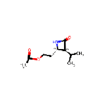 CC(=O)OCC[C@@H]1NC(=O)[C@H]1C(C)C